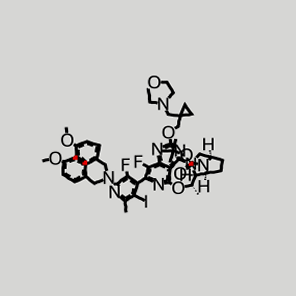 COc1ccc(CN(Cc2ccc(OC)cc2)c2nc(C)c(I)c(-c3nc4c5c(nc(OCC6(CN7CCOCC7)CC6)nc5c3F)N3C[C@H]5CC[C@@H]([C@H]3[C@H](C)O4)N5C(=O)OC(C)(C)C)c2F)cc1